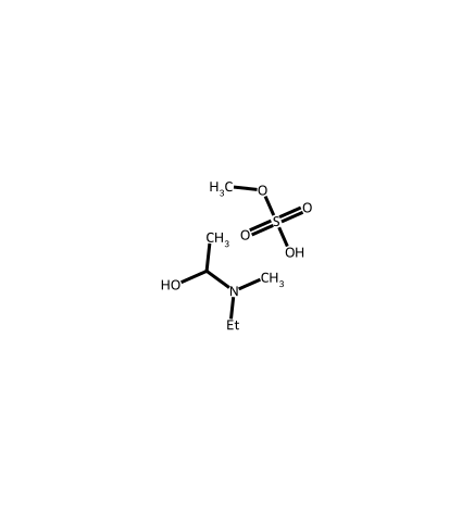 CCN(C)C(C)O.COS(=O)(=O)O